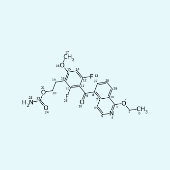 CCOc1nccc2c(C(=O)c3c(F)cc(OC)c(CCOC(N)=O)c3F)cccc12